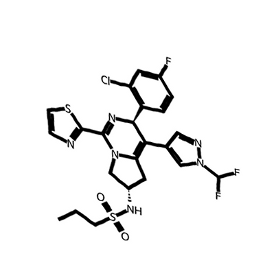 CCCS(=O)(=O)N[C@H]1CC2=C(c3cnn(C(F)F)c3)[C@H](c3ccc(F)cc3Cl)N=C(c3nccs3)N2C1